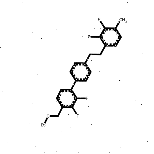 CCOCc1ccc(-c2ccc(CCc3ccc(C)c(F)c3F)cc2)c(F)c1F